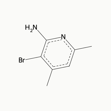 Cc1cc(C)c(Br)c(N)n1